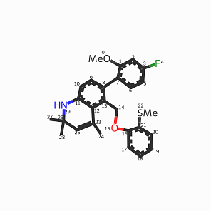 COc1cc(F)ccc1-c1ccc2c(c1COc1ccccc1SC)C(C)=CC(C)(C)N2